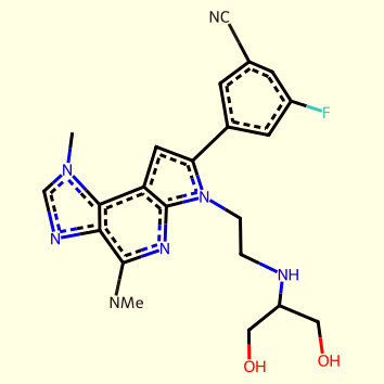 CNc1nc2c(cc(-c3cc(F)cc(C#N)c3)n2CCNC(CO)CO)c2c1ncn2C